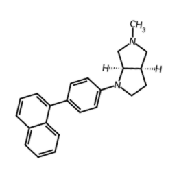 CN1C[C@H]2CCN(c3ccc(-c4cccc5ccccc45)cc3)[C@H]2C1